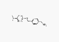 CC(C)c1ccc(OCc2ccc(CN)cc2)nn1